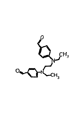 CCN(CCN(CC)c1ccc(C=O)cc1)c1ccc(C=O)cc1